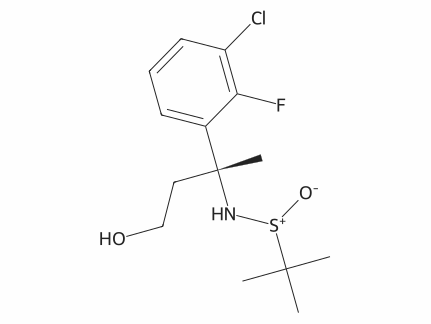 CC(C)(C)[S+]([O-])N[C@](C)(CCO)c1cccc(Cl)c1F